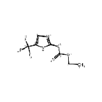 CCOC(=S)Sc1ncc(C(F)(F)F)s1